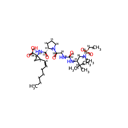 CCCCC/C=C\C1C[C@]1(NC(=O)[C@@H]1CCCN1C(=O)CNC(=O)NC(CN(C)S(=O)(=O)CC)C(C)(C)C)C(=O)O